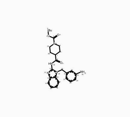 CC(C)(C)OC(=O)N1CCC(C(=O)Nc2nc3ccccc3n2Cc2cccc(N)c2)CC1